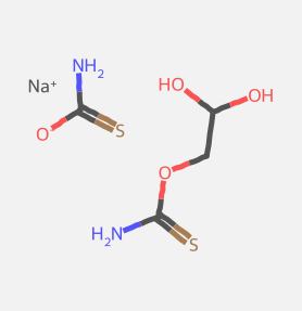 NC(=S)OCC(O)O.NC([O-])=S.[Na+]